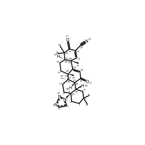 CC1(C)CC[C@]2(n3ccnn3)CC[C@]3(C)[C@H](C(=O)C=C4[C@@]5(C)C=C(C#N)C(=O)C(C)(C)[C@@H]5CC[C@]43C)[C@@H]2C1